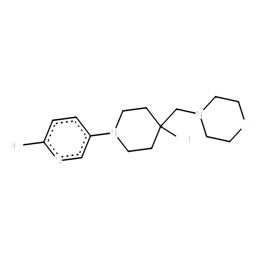 CC(C)c1ccc(N2CCC(O)(CN3CCOCC3)CC2)cn1